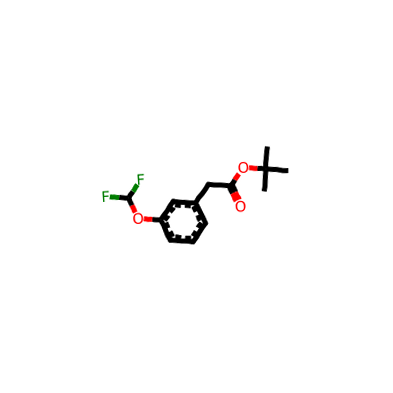 CC(C)(C)OC(=O)Cc1cccc(OC(F)F)c1